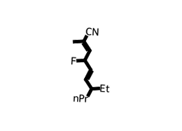 CCCC(/C=C/C(F)C=C(C)C#N)CC